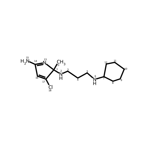 CC1(NCCCNC2CCCCC2)N=C(N)C=C1Cl